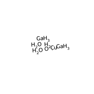 O.O.O.[Cu].[GaH3].[GaH3]